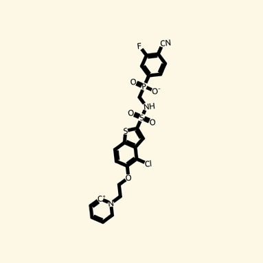 N#Cc1ccc(P(=O)([O-])CNS(=O)(=O)c2cc3c(Cl)c(OCCN4[C+]=CC=CC4)ccc3s2)cc1F